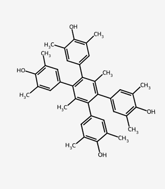 Cc1cc(-c2c(C)c(-c3cc(C)c(O)c(C)c3)c(-c3cc(C)c(O)c(C)c3)c(C)c2-c2cc(C)c(O)c(C)c2)cc(C)c1O